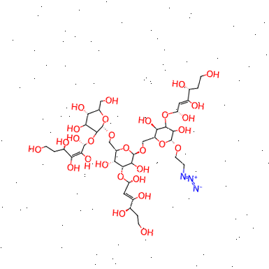 [N-]=[N+]=NCCO[C@@H]1OC(CO[C@@H]2OC(CO[C@H]3OC(CO)[C@@H](O)C(O)C3O[C@@H](O)/C(O)=C(/O)[C@H](O)CCO)[C@@H](O)C(O[C@@H](O)/C=C(\O)[C@H](O)CCO)C2O)[C@@H](O)C(O[C@@H](O)/C=C(\O)[C@H](O)CCO)C1O